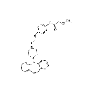 COCC(=O)Oc1ccc(C=CCN2CCC(=C3c4ccccc4C=Cc4ccccc43)CC2)cc1